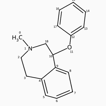 CN1CCc2ccccc2C(Oc2ccccc2)C1